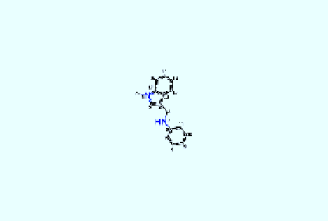 Cn1cc(CNc2ccccc2)c2ccccc21